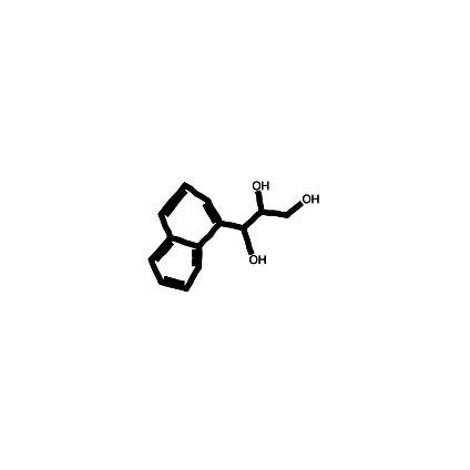 OCC(O)C(O)c1cccc2ccccc12